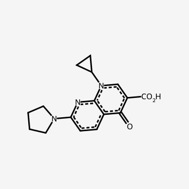 O=C(O)c1cn(C2CC2)c2nc(N3CCCC3)ccc2c1=O